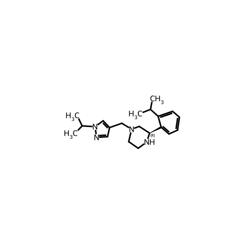 CC(C)c1ccccc1[C@@H]1CN(Cc2cnn(C(C)C)c2)CCN1